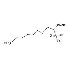 CCCCCCCCCC(CCCCCCCC(=O)O)S(=O)(=O)CC